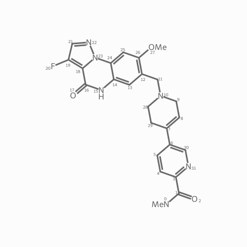 CNC(=O)c1ccc(C2=CCN(Cc3cc4[nH]c(=O)c5c(F)cnn5c4cc3OC)CC2)cn1